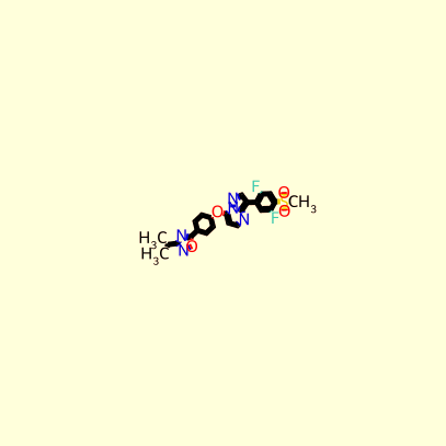 CC(C)c1noc(C2CCC(Oc3ccnc4c(-c5cc(F)c(S(C)(=O)=O)cc5F)cnn34)CC2)n1